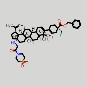 C=C(C)[C@@H]1CC[C@]2(NCC(=O)N3CCS(=O)(=O)CC3)CC[C@]3(C)[C@H](CC[C@@H]4[C@@]5(C)CC=C(C6=CC[C@](CF)(C(=O)OCc7ccccc7)CC6)C(C)(C)[C@@H]5CC[C@]43C)[C@@H]12